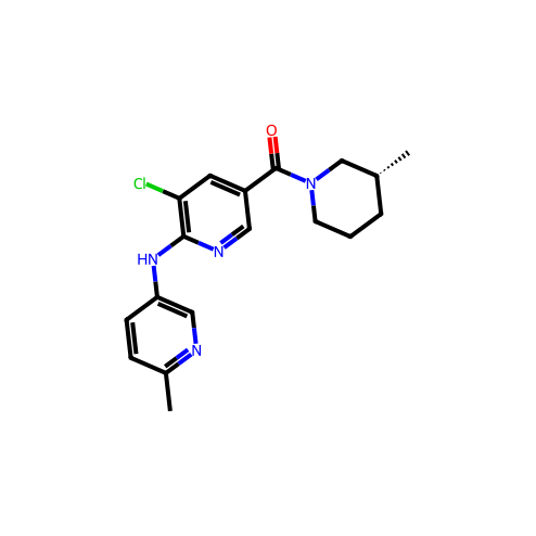 Cc1ccc(Nc2ncc(C(=O)N3CCC[C@@H](C)C3)cc2Cl)cn1